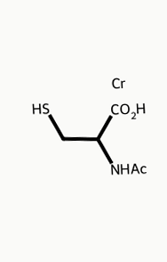 CC(=O)NC(CS)C(=O)O.[Cr]